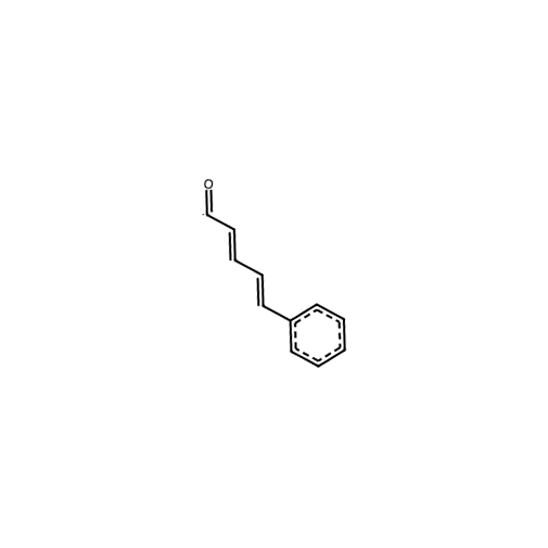 O=[C]/C=C/C=C/c1ccccc1